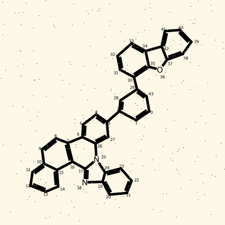 c1cc(-c2ccc3c4ccc5ccccc5c4c4nc5ccccc5n4c3c2)cc(-c2cccc3c2oc2ccccc23)c1